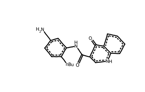 CCCCc1ccc(N)cc1NC(=O)c1c[nH]c2ccccc2c1=O